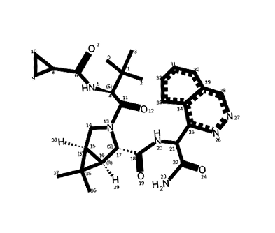 CC(C)(C)[C@H](NC(=O)C1CC1)C(=O)N1C[C@H]2[C@@H]([C@H]1C(=O)NC(C(N)=O)c1nncc3ccccc13)C2(C)C